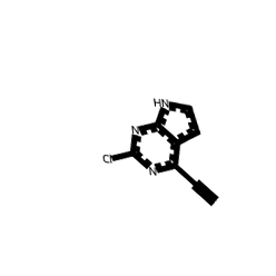 C#Cc1nc(Cl)nc2[nH]ccc12